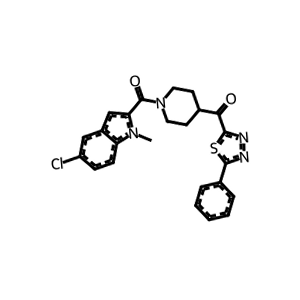 Cn1c(C(=O)N2CCC(C(=O)c3nnc(-c4ccccc4)s3)CC2)cc2cc(Cl)ccc21